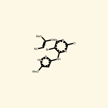 CO/C(=C/C#N)SC.COc1cc(Nc2nc(Cl)ncc2Br)n[nH]1